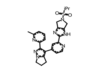 Cc1cccc(-c2nn3c(c2-c2ccnc(-c4nc5c([nH]4)CN(S(=O)(=O)C(C)C)C5)c2)CCC3)n1